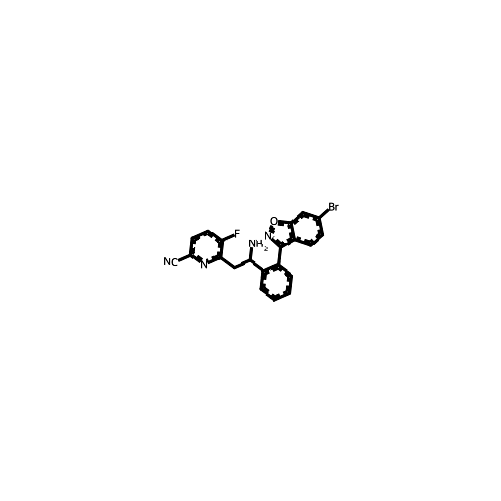 N#Cc1ccc(F)c(CC(N)c2ccccc2-c2noc3cc(Br)ccc23)n1